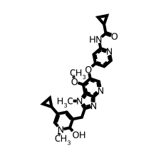 COc1c(Oc2ccnc(NC(=O)C3CC3)c2)cnc2nc(CC3=CC(C4CC4)=CN(C)C3O)n(C)c12